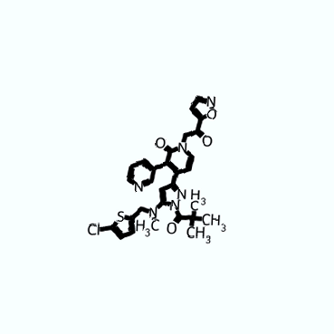 CN(Cc1ccc(Cl)s1)c1cc(-c2ccn(CC(=O)c3ccno3)c(=O)c2-c2cccnc2)nn1C(=O)C(C)(C)C